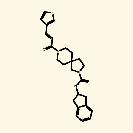 O=C(/C=C/c1ccsc1)N1CCC2(CC1)CCN(C(=S)NC1Cc3ccccc3C1)C2